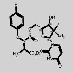 CCOC(=O)C(C)N(Oc1ccc(F)cc1)[PH](=O)OC[C@H]1O[C@@H](n2ccc(=O)[nH]c2=O)[C@](C)(F)[C@@H]1O